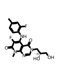 Cc1ccc(Nc2c(F)c(=O)n(C)c3ncn(C[C@@H](O)CO)c(=O)c23)c(F)c1